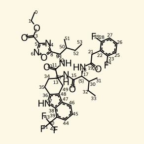 CCOC(=O)c1noc([C@@H](NC(=O)[C@@]2(NC(=O)[C@@H](NC(=O)Cc3c(F)cccc3F)C(C)CC)CCc3[nH]c4c(C(F)(F)F)cccc4c3C2)C(C)CC)n1